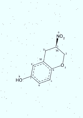 O=[N+]([O-])[C@H]1COc2ccc(O)cc2C1